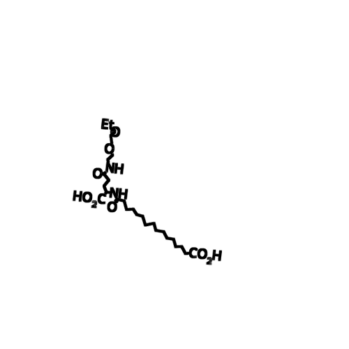 CCOCCOCCNC(=O)CCC(NC(=O)CCCCCCCCCCCCCCC(=O)O)C(=O)O